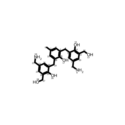 Cc1cc(Cc2cc(CN)cc(CO)c2O)c(O)c(Cc2cc(CN)cc(CO)c2O)c1